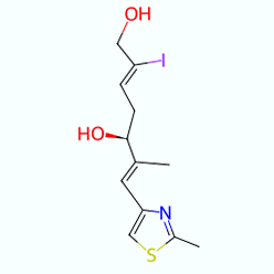 C/C(=C\c1csc(C)n1)[C@@H](O)C/C=C(\I)CO